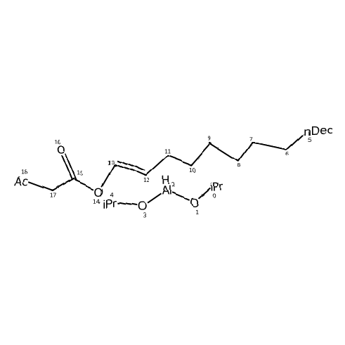 CC(C)[O][AlH][O]C(C)C.CCCCCCCCCCCCCCCCC=COC(=O)CC(C)=O